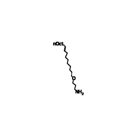 CCCCCCCCC=CCCCCCCCCOCCCN